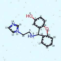 Oc1ccc2c(c1)C(NCCn1ccnc1)c1ccccc1O2